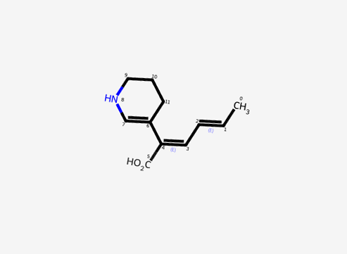 C/C=C/C=C(/C(=O)O)C1=CNCCC1